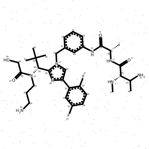 CN[C@H](C(=O)N[C@@H](C)C(=O)Nc1cccc(Cn2cc(-c3cc(F)ccc3F)nc2[C@H](N(CCCN)C(=O)CO)C(C)(C)C)c1)C(C)N